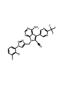 N#Cc1c(-c2cnc(C(F)(F)F)nc2)c2c(N)ncnc2n1Cc1cn(-c2cccc(F)c2F)nn1